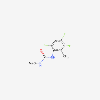 CONC(=O)Nc1c(F)cc(F)c(F)c1C